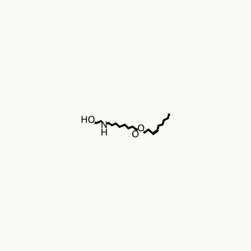 CCCCC/C=C\CCOC(=O)CCCCCCCNCCO